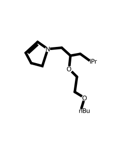 CCCCOCCOC(CC(C)C)CN1C=CCC1